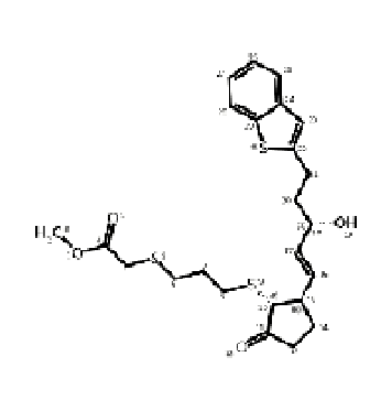 COC(=O)CSCCCS[C@H]1C(=O)CC[C@@H]1C=C[C@@H](O)CCc1cc2ccccc2s1